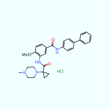 COc1ccc(C(=O)Nc2ccc(-c3ccccc3)cc2)cc1NC(=O)C1(N2CCN(C)CC2)CC1.Cl